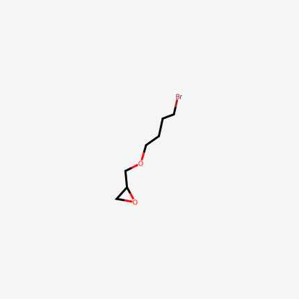 BrCCCCOCC1CO1